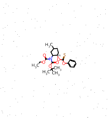 CCOC(=O)N(C(=O)OC(C)(C)C)C1CC(C)CC[C@H]1OC(=S)Oc1ccccc1